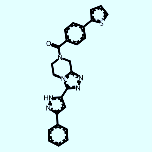 O=C(c1ccc(-c2cccs2)cc1)N1CCn2c(nnc2-c2cc(-c3ccccc3)n[nH]2)C1